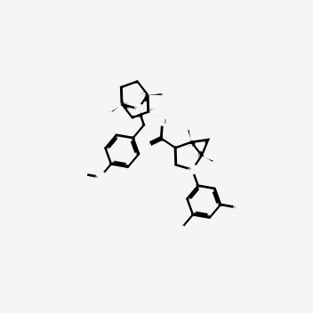 COc1ccc(CN2[C@H]3CC[C@@H]2[C@H](NC(=O)C2CN(c4cc(Cl)cc(Cl)c4)[C@H]4C[C@@H]24)C3)cc1